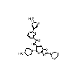 Cl.Cn1cc(-c2cccc(C(=O)Nc3cc4sc(N5CCCCC5)nc4nc3N3CCCCC3)n2)cn1